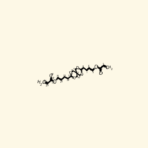 C=CC(=O)OCCCCC1OCC2(CO1)COC(CCCCOC(=O)C=C)OC2